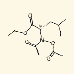 CCOC(=O)[C@H](CC(C)C)N(OC(C)=O)C(C)=O